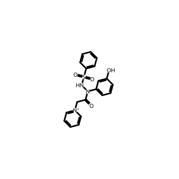 O=C(C[n+]1ccccc1)N(NS(=O)(=O)c1ccccc1)c1cccc(O)c1